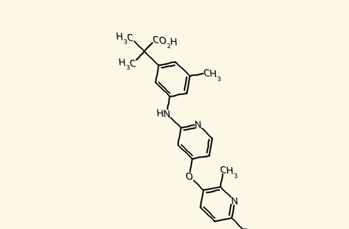 CCc1ccc(Oc2ccnc(Nc3cc(C)cc(C(C)(C)C(=O)O)c3)c2)c(C)n1